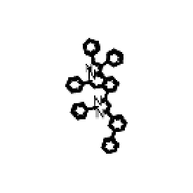 c1ccc(-c2cccc(-c3cc(-c4cccc5c4cc(-c4ccccc4)n4nc(-c6ccccc6)c(-c6ccccc6)c54)nc(-c4ccccc4)n3)c2)cc1